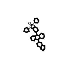 O=c1n(-c2ccccc2)c2ccc(-c3c4ccccc4c(-c4ccc5ccccc5c4)c4ccccc34)cc2n1-c1ccccc1